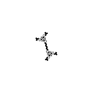 C=C(C)COc1nc(OCCCCCCOc2nc(OCC(=C)C)nc(OCC(=C)C)n2)nc(OCC(=C)C)n1